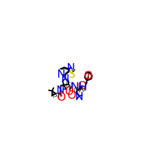 C[C@@H](OCC12CCC(CC1)OC2)[C@H](NC(=O)[C@@H]1CN(c2nccc3ncsc23)CC12CN(C(=O)[C@H]1CC1(C)C)C2)C(=O)N(C)C